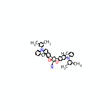 Cc1cc(C)cc(N(c2ccc3cc4c(cc3c2)oc2c(C#N)c3oc5cc6cc(N(c7cc(C)cc(C)c7)c7ccccc7C)ccc6cc5c3cc24)c2ccccc2C)c1